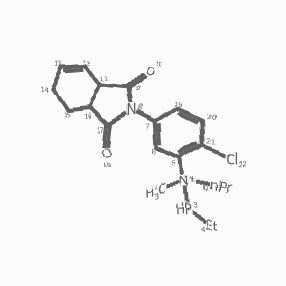 CCC[N+](C)(PCC)c1cc(N2C(=O)C3C=CCCC3C2=O)ccc1Cl